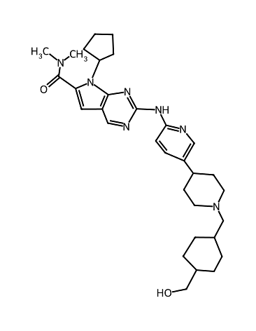 CN(C)C(=O)c1cc2cnc(Nc3ccc(C4CCN(CC5CCC(CO)CC5)CC4)cn3)nc2n1C1CCCC1